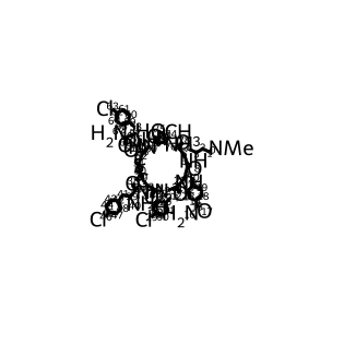 CNCCCC[C@@H]1NC(=O)[C@@H](Cc2ccc(C(N)=O)cc2)NC(=O)[C@H](Cc2ccc(Cl)cc2)NC(=O)[C@H](NC(=O)[C@@H](N)Cc2ccc(Cl)cc2)CSSC[C@@H](C(=O)N[C@H](Cc2ccc(Cl)cc2)C(N)=O)NC(=O)[C@H]([C@@H](C)O)NC1=O